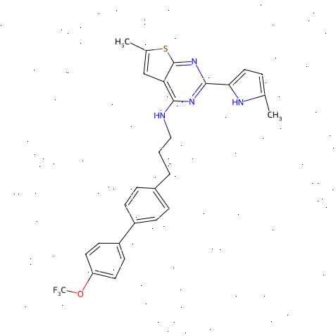 Cc1ccc(-c2nc(NCCCc3ccc(-c4ccc(OC(F)(F)F)cc4)cc3)c3cc(C)sc3n2)[nH]1